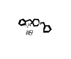 Cl.Cl.NC1(Cc2ccccc2)CCN(Cc2ccccc2)CC1